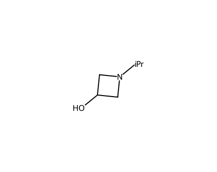 CC(C)N1CC(O)C1